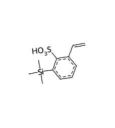 C=Cc1cccc([Si](C)(C)C)c1S(=O)(=O)O